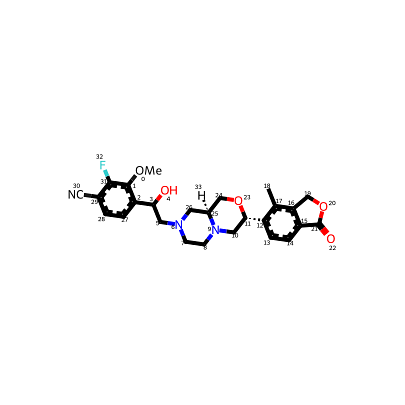 COc1c(C(O)CN2CCN3C[C@@H](c4ccc5c(c4C)COC5=O)OC[C@@H]3C2)ccc(C#N)c1F